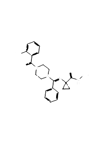 CCCCCNC(=O)C1(N=C(c2ccccc2)N2CCN(C(=O)c3ccccc3C(F)(F)F)CC2)CC1